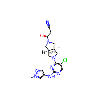 Cn1cc(Nc2ncc(Cl)c(N3C[C@H]4CN(C(=O)CC#N)C[C@@]4(C)C3)n2)cn1